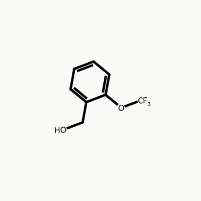 OCc1ccccc1OC(F)(F)F